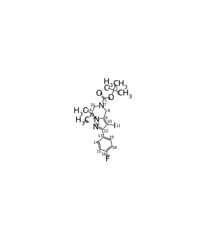 CC(C)(C)OC(=O)N1Cc2c(I)c(-c3ccc(F)cc3)nn2C(C)(C)C1